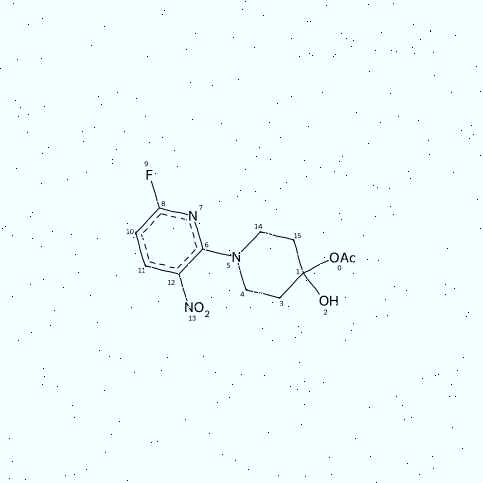 CC(=O)OC1(O)CCN(c2nc(F)ccc2[N+](=O)[O-])CC1